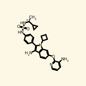 C[C@H](NS(=O)(=O)Nc1ccc(-c2c(N)c3ccc(Oc4ncccc4N)cc3n2C2CCC2)cc1)C1CC1